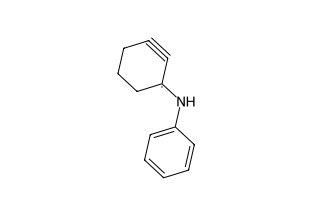 C1#C[C](Nc2ccccc2)CCC1